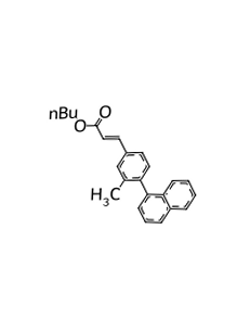 CCCCOC(=O)/C=C/c1ccc(-c2cccc3ccccc23)c(C)c1